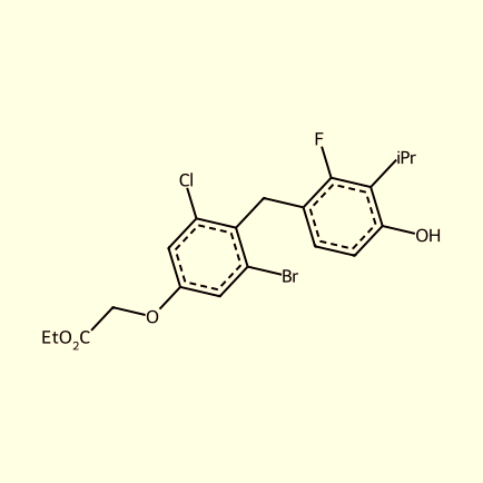 CCOC(=O)COc1cc(Cl)c(Cc2ccc(O)c(C(C)C)c2F)c(Br)c1